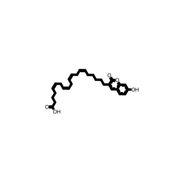 O=C(O)CCC/C=C\C/C=C\C/C=C\C/C=C\CCCCCc1cc2ccc(O)cc2oc1=O